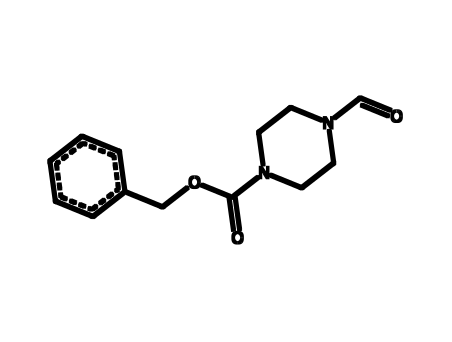 O=CN1CCN(C(=O)OCc2ccccc2)CC1